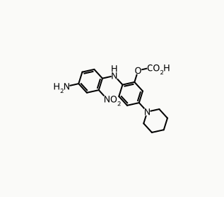 Nc1ccc(Nc2ccc(N3CCCCC3)cc2OC(=O)O)c([N+](=O)[O-])c1